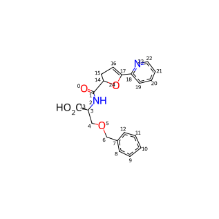 O=C(N[C@@H](COCc1ccccc1)C(=O)O)C1CC=C(c2ccccn2)O1